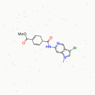 COC(=O)C1=CCC(C(=O)Nc2cc3c(cn2)c(Br)cn3C)C=C1